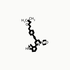 CC(C)=CC(=O)CCc1ccc(C#Cc2cc(-c3cccc4[nH]ncc34)nc(N3CCOCC3)c2)cc1